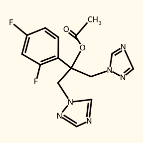 CC(=O)OC(Cn1cncn1)(Cn1cncn1)c1ccc(F)cc1F